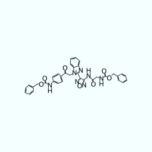 O=C(CNC(=O)OCc1ccccc1)Nc1nonc1-c1nc2ccccc2n1CC(=O)c1ccc(NC(=O)OCc2ccccc2)cc1